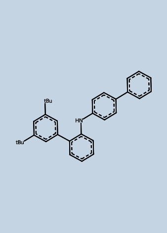 CC(C)(C)c1cc(-c2ccccc2Nc2ccc(-c3ccccc3)cc2)cc(C(C)(C)C)c1